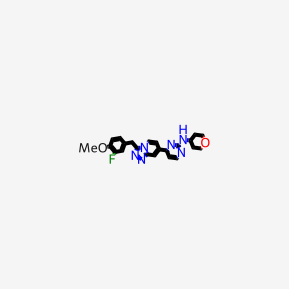 COc1ccc(Cc2nnc3cc(-c4ccnc(NC5CCOCC5)n4)ccn23)cc1F